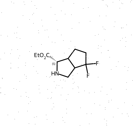 CCOC(=O)[C@H]1NCC2C1CCC2(F)F